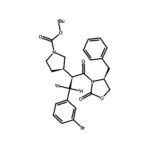 [2H]C([2H])(c1cccc(Br)c1)[C@H](C(=O)N1C(=O)OC[C@@H]1Cc1ccccc1)[C@H]1CCN(C(=O)OC(C)(C)C)C1